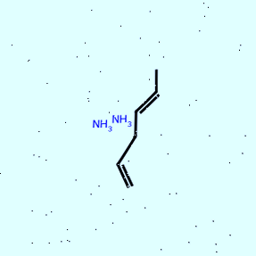 C=CC/C=C/C.N.N